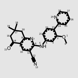 COc1cc(Nc2nc3c(cc2C#N)C(=O)CC(C)(C)C3)ccc1-c1ccccn1